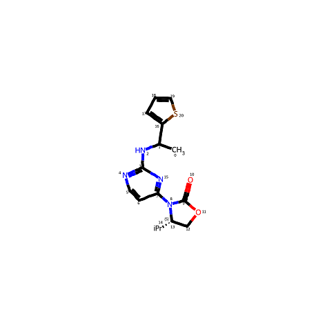 CC(Nc1nccc(N2C(=O)OC[C@@H]2C(C)C)n1)c1cccs1